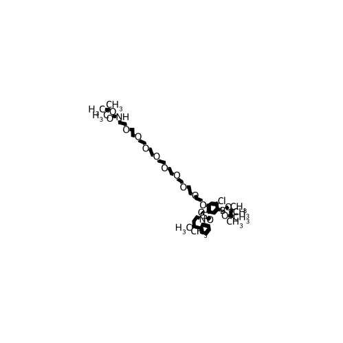 CC(C)(C)OC(=O)NCCOCCOCCOCCOCCOCCOCCOCCOCCOc1cc(Cl)c(B2OC(C)(C)C(C)(C)O2)cc1S(=O)(=O)N1CCC(C)(C)c2ccccc21